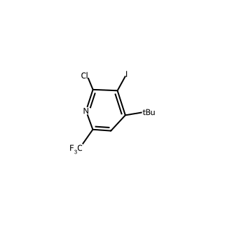 CC(C)(C)c1cc(C(F)(F)F)nc(Cl)c1I